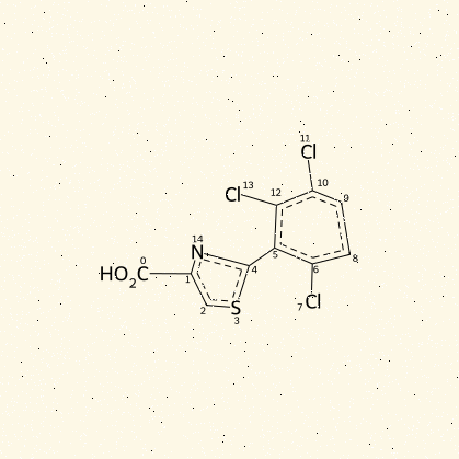 O=C(O)c1csc(-c2c(Cl)ccc(Cl)c2Cl)n1